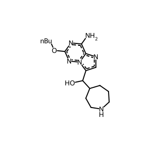 CCCCOc1nc(N)c2ncc(C(O)C3CCCNCC3)n2n1